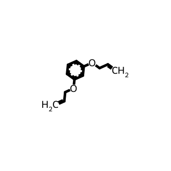 C=CCOc1cccc(OCC=C)c1